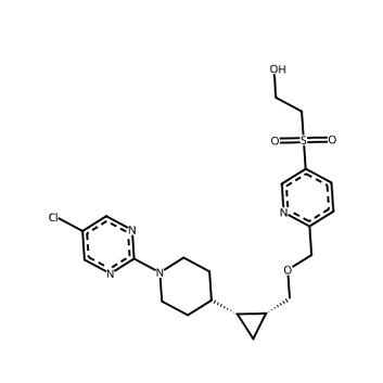 O=S(=O)(CCO)c1ccc(COC[C@@H]2C[C@@H]2C2CCN(c3ncc(Cl)cn3)CC2)nc1